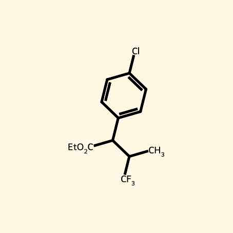 CCOC(=O)C(c1ccc(Cl)cc1)C(C)C(F)(F)F